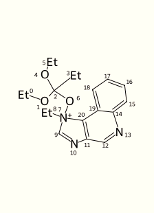 CCOC(CC)(OCC)O[N+]1(CC)C=Nc2cnc3ccccc3c21